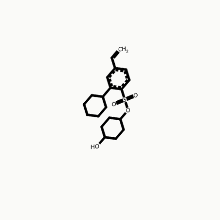 C=Cc1ccc(S(=O)(=O)OC2CCC(O)CC2)c(C2CCCCC2)c1